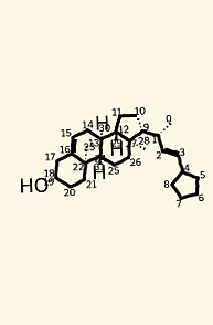 C[C@H](/C=C/C1CCCC1)[C@H]1CC[C@H]2[C@@H]3CC=C4C[C@@H](O)CC[C@]4(C)[C@H]3CC[C@]12C